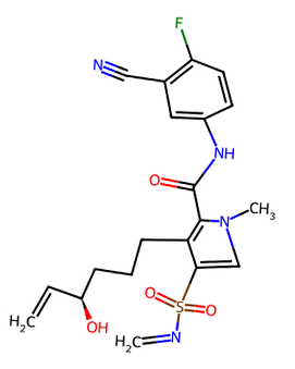 C=C[C@H](O)CCCc1c(S(=O)(=O)N=C)cn(C)c1C(=O)Nc1ccc(F)c(C#N)c1